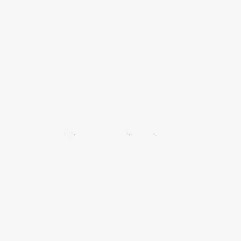 NCCCNC1=NCCCCC1